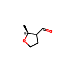 C[C@@H]1OCCC1C=O